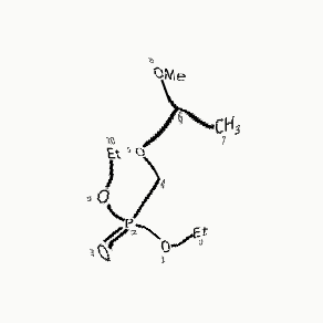 CCOP(=O)(COC(C)OC)OCC